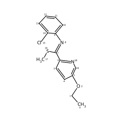 CCOc1ccc(C(=Nc2ccccc2Cl)SC)nc1